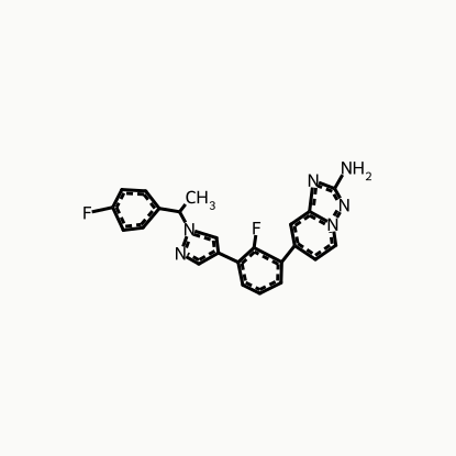 CC(c1ccc(F)cc1)n1cc(-c2cccc(-c3ccn4nc(N)nc4c3)c2F)cn1